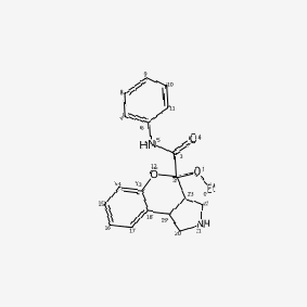 CCOC1(C(=O)Nc2ccccc2)Oc2ccccc2C2CNCC21